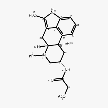 CCCN1C[C@@H](NC(=O)COC(C)=O)C[C@@H]2c3cccc4[nH]c(C)c(c34)C[C@H]21